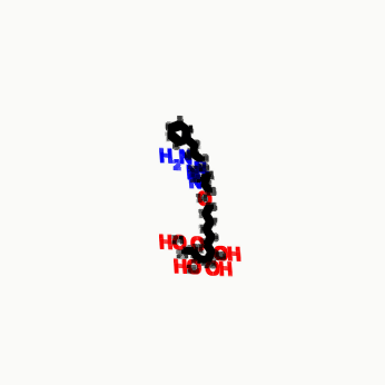 N[C@H](Cc1ccccc1)Cn1cc(COCCCCCC2OC(CO)C(O)C(O)C2O)nn1